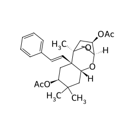 CC(=O)O[C@H]1C[C@@]2(/C=C/c3ccccc3)[C@@H](CC1(C)C)O[C@@H]1[C@H](OC(C)=O)C[C@@]2(C)[C@]12CO2